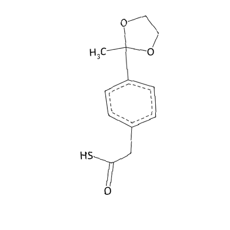 CC1(c2ccc(CC(=O)S)cc2)OCCO1